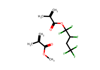 C=C(C)C(=O)OC.C=C(C)C(=O)OC(F)(F)C(F)CC(F)(F)F